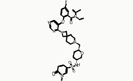 CCN(C(=O)c1cc(F)ccc1Oc1cncnc1N1CC2(CCN(C[C@@H]3CC[C@@H](NS(=O)(=O)c4ccc(=O)n(C)c4)CO3)CC2)C1)C(C)C